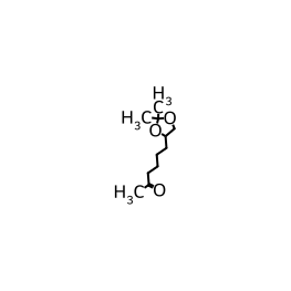 CC(=O)CCCCC1COC(C)(C)O1